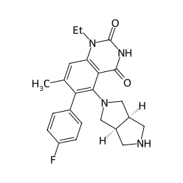 CCn1c(=O)[nH]c(=O)c2c(N3C[C@H]4CNC[C@H]4C3)c(-c3ccc(F)cc3)c(C)cc21